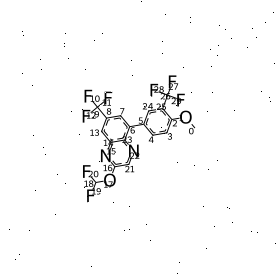 COc1ccc(-c2cc(C(F)(F)F)cc3nc(OC(F)F)cnc23)cc1C(F)(F)F